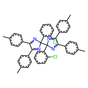 Cc1ccc(C2=NC(c3ccccc3Cl)(C3(c4ccccc4Cl)N=C(c4ccc(C)cc4)C(c4ccc(C)cc4)=N3)N=C2c2ccc(C)cc2)cc1